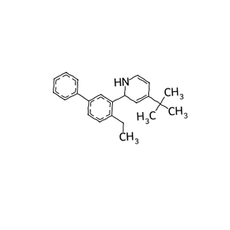 CCc1ccc(-c2ccccc2)cc1C1C=C(C(C)(C)C)C=CN1